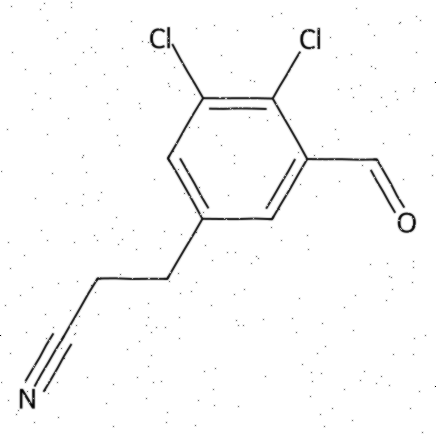 N#CCCc1cc(Cl)c(Cl)c(C=O)c1